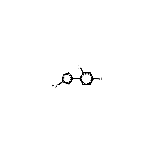 Cc1cc(-c2ccc(Cl)cc2Cl)no1